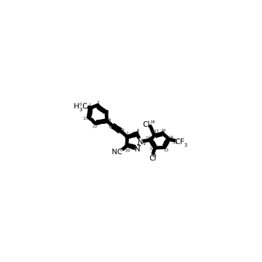 Cc1ccc(C#Cc2cn(-c3c(Cl)cc(C(F)(F)F)cc3Cl)nc2C#N)cc1